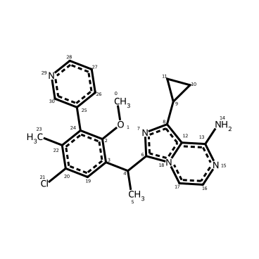 COc1c(C(C)c2nc(C3CC3)c3c(N)nccn23)cc(Cl)c(C)c1-c1cccnc1